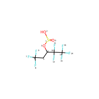 O=S(O)OC(CC(F)(F)F)C(F)(F)C(F)(F)F